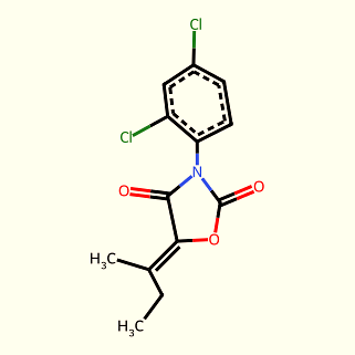 CCC(C)=C1OC(=O)N(c2ccc(Cl)cc2Cl)C1=O